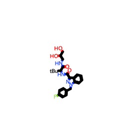 CC(C)(C)C(NC(=O)c1nn(Cc2ccc(F)cc2)c2ccccc12)C(=O)NCC(O)CO